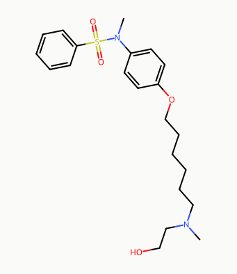 CN(CCO)CCCCCCOc1ccc(N(C)S(=O)(=O)c2ccccc2)cc1